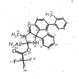 Cc1ccccc1-c1cccc(C2(c3ccccc3)NC([AsH2])(OC(=O)C(F)(F)F)N(C)C2=O)c1